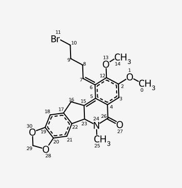 COc1cc2c(c(=CCCCBr)c1OC)=C1Cc3cc4c(cc3C1N(C)C2=O)OCO4